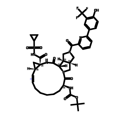 CC(C)(C)OC(=O)N[C@H]1CCCCC/C=C\[C@H]2C[C@@]2(C(=O)NS(=O)(=O)C2CC2)NC(=O)[C@@H]2[C@H]3CN(C(=O)c4cccc(-c5ccc(O)c(C(F)(F)F)c5)n4)C[C@H]3CN2C1=O